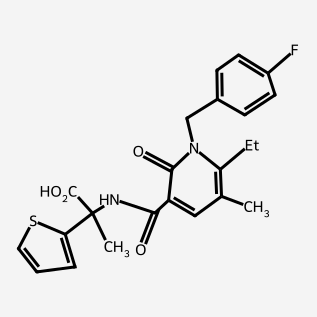 CCc1c(C)cc(C(=O)NC(C)(C(=O)O)c2cccs2)c(=O)n1Cc1ccc(F)cc1